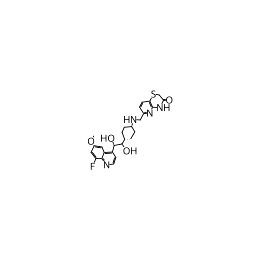 COc1cc(F)c2nccc([C@@H](O)[C@H](O)[C@H]3CC[C@H](NCc4ccc5c(n4)NC(=O)CS5)CC3)c2c1